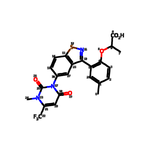 Cc1ccc(OC(C)C(=O)O)c(-c2nsc3ccc(-n4c(=O)cc(C(F)(F)F)n(C)c4=O)cc23)c1